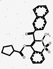 CN1C(C(=O)c2ccc3ccccc3c2)=C(OC(=O)C2CCCC2)c2ccccc2S1(=O)=O